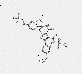 CCc1ccc(-n2nc3c(c2C(=O)NS(=O)(=O)C2CC2)C(=O)N[C@@]2(CCc4cc(OCC(F)(F)F)ccc42)C3)nc1